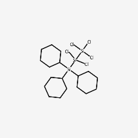 Cl[Si](Cl)(Cl)[Si](Cl)(Cl)[Si](C1CCCCC1)(C1CCCCC1)C1CCCCC1